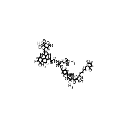 CC[C@@]1(O)C(=O)OC(=O)C2=C1C=C1C3=NC4=CC(F)C(C)C5=C4C(C(NC(=O)COCN(CCS(C)(=O)=O)C(=O)OCc4ccc(NC(=O)C(C)NC(=O)[C@@H](NC(=O)CCCCCN6C(=O)C=CC6=O)C(C)C)cc4)CC5)C3CN1C2